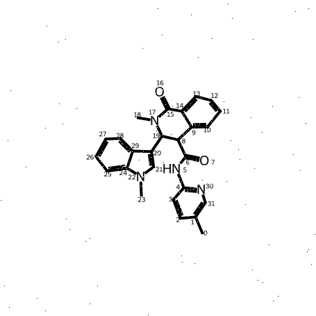 Cc1ccc(NC(=O)C2c3ccccc3C(=O)N(C)C2c2cn(C)c3ccccc23)nc1